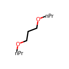 [CH2]CCOCCCOCCC